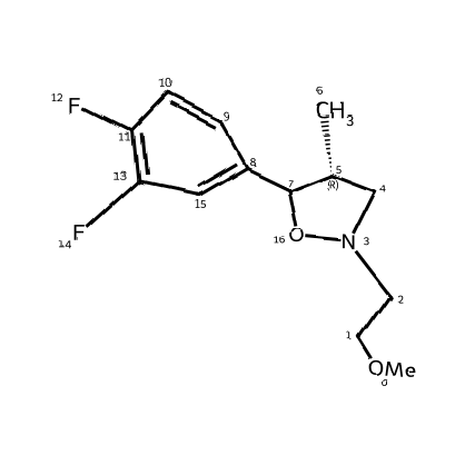 COCCN1C[C@@H](C)C(c2ccc(F)c(F)c2)O1